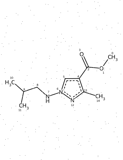 COC(=O)c1cn(NCC(C)C)nc1C